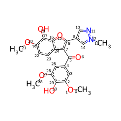 COc1cc(C(=O)c2c(-c3cnn(C)c3)oc3c(O)c(OC)ccc23)cc(OC)c1O